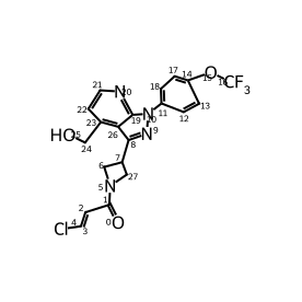 O=C(/C=C/Cl)N1CC(c2nn(-c3ccc(OC(F)(F)F)cc3)c3nccc(CO)c23)C1